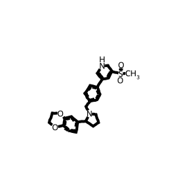 CS(=O)(=O)C1=CC(c2ccc(CN3CCCC3c3ccc4c(c3)OCCO4)cc2)=CNC1